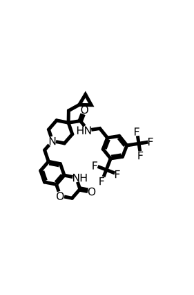 O=C1COc2ccc(CN3CCC(CC4CC4)(C(=O)NCc4cc(C(F)(F)F)cc(C(F)(F)F)c4)CC3)cc2N1